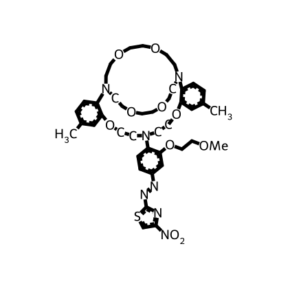 COCCOc1cc(/N=N/c2nc([N+](=O)[O-])cs2)ccc1N1CCOc2cc(C)ccc2N2CCOCCOCCN(CCOCCOCC2)c2ccc(C)cc2OCC1